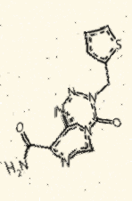 NC(=O)c1ncn2c(=O)n(Cc3cccs3)nnc12